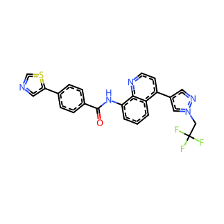 O=C(Nc1cccc2c(-c3cnn(CC(F)(F)F)c3)ccnc12)c1ccc(-c2cncs2)cc1